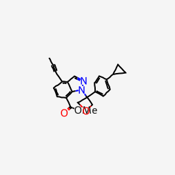 CC#Cc1ccc(C(=O)OC)c2c1cnn2C1(c2ccc(C3CC3)cc2)COC1